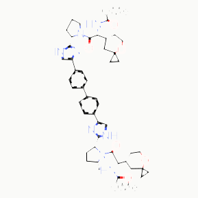 COC(=O)N[C@H](C(=O)N1[C@@H](C)CC[C@H]1c1nc(-c2ccc(-c3ccc(-c4c[nH]c([C@@H]5CC[C@H](C)N5C(=O)[C@@H](NC(=O)OC)[C@H]5CCOC6(CC6)C5)n4)cc3)cc2)c[nH]1)[C@H]1CCOC2(CC2)C1